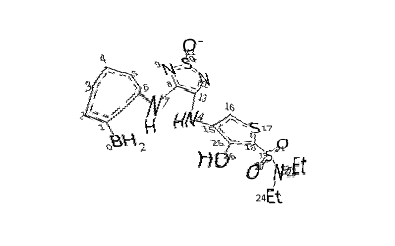 Bc1ccccc1Nc1n[s+]([O-])nc1Nc1csc(S(=O)(=O)N(CC)CC)c1O